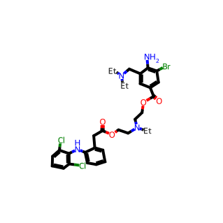 CCN(CCOC(=O)Cc1ccccc1Nc1c(Cl)cccc1Cl)CCOC(=O)c1cc(Br)c(N)c(CN(CC)CC)c1